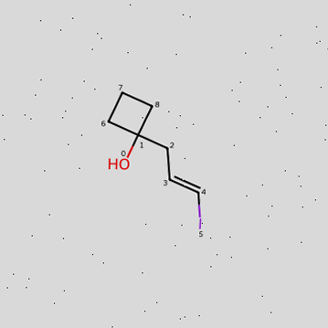 OC1(C/C=C/I)CCC1